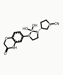 N#CN1CC[C@@H](N2CCN(c3ccc4c(c3)NC(=O)CO4)S2(O)O)C1